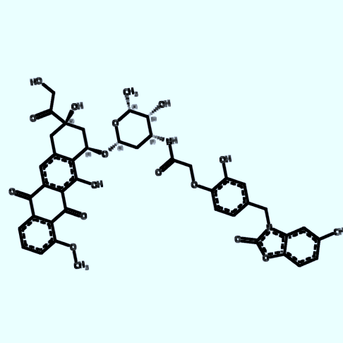 COc1cccc2c1C(=O)c1c(cc3c(c1O)[C@H](O[C@H]1C[C@@H](NC(=O)COc4ccc(Cn5c(=O)oc6ccc(C)cc65)cc4O)[C@@H](O)[C@@H](C)O1)C[C@@](O)(C(=O)CO)C3)C2=O